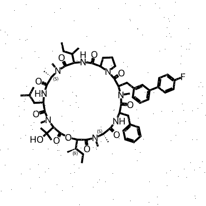 CCC(C)C1NC(=O)C2CCCN2C(=O)C(Cc2cccc(-c3ccc(F)cc3)c2)N(C)C(=O)C(Cc2ccccc2)NC(=O)[C@H](C)N(C)C(=O)C([C@H](C)CC)OC(=O)C(C(C)(C)O)N(C)C(=O)C(CC(C)C)NC(=O)[C@H](C)N(C)C1=O